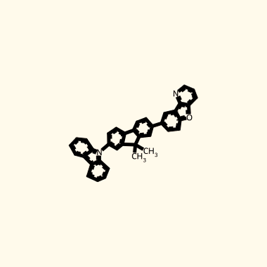 CC1(C)c2cc(-c3ccc4oc5cccnc5c4c3)ccc2-c2ccc(-n3c4ccccc4c4ccccc43)cc21